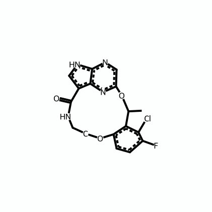 CC1Oc2cnc3[nH]cc(c3n2)C(=O)NCCOc2ccc(F)c(Cl)c21